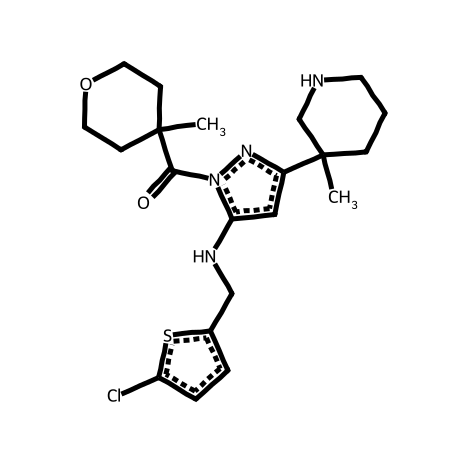 CC1(C(=O)n2nc(C3(C)CCCNC3)cc2NCc2ccc(Cl)s2)CCOCC1